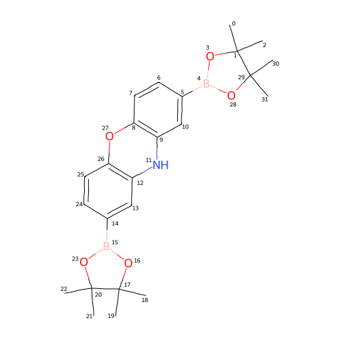 CC1(C)OB(c2ccc3c(c2)Nc2cc(B4OC(C)(C)C(C)(C)O4)ccc2O3)OC1(C)C